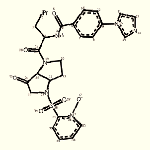 CC(C)CC(NC(=O)c1ccc(-n2ccnc2)cc1)C(=O)N1CCC2C1C(=O)CN2S(=O)(=O)c1cccc[n+]1[O-]